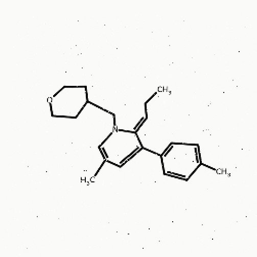 CC/C=C1/C(c2ccc(C)cc2)=CC(C)=CN1CC1CCOCC1